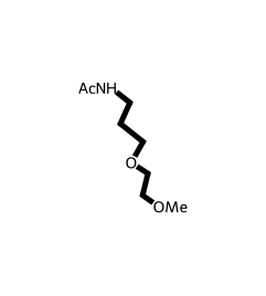 COCCOCCCNC(C)=O